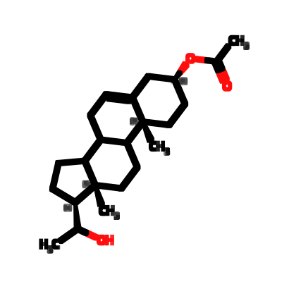 CC(=O)O[C@H]1CC[C@@]2(C)C(=CCC3C2CC[C@@]2(C)C3CC[C@@H]2C(C)O)C1